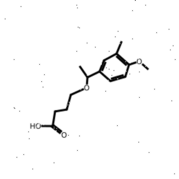 COc1ccc(C(C)OCCCC(=O)O)cc1C